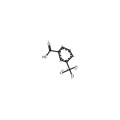 O=C(S)c1cccc(C(Cl)(Cl)Cl)c1